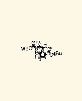 COC(=O)N[C@H](C(=O)N1[C@@H](C)CC[C@H]1C(=O)OC(C)(C)C)C(C)C